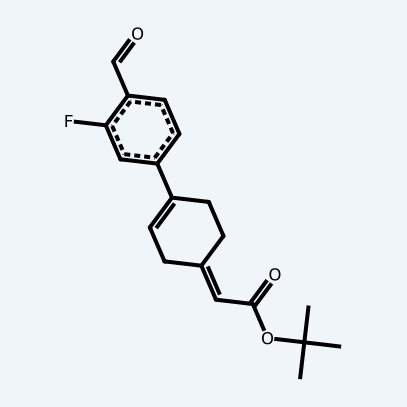 CC(C)(C)OC(=O)/C=C1/CC=C(c2ccc(C=O)c(F)c2)CC1